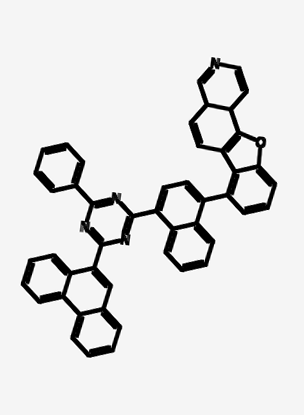 C1=CC2c3oc4cccc(-c5ccc(-c6nc(-c7ccccc7)nc(-c7cc8ccccc8c8ccccc78)n6)c6ccccc56)c4c3C=CC2C=N1